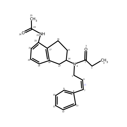 CCC(=O)N(C/C=C\c1ccccc1)C1CCc2c(cccc2NC(C)=O)C1